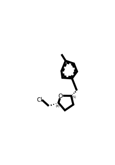 Cc1ccc(C[C@@H]2CC[C@H](CCl)O2)cc1